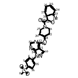 CS(=O)(=O)c1ccc(-n2ncc3c(OC4CCN(C(=O)C5ON=C6C=CC=CC65)CC4)ncnc32)cc1